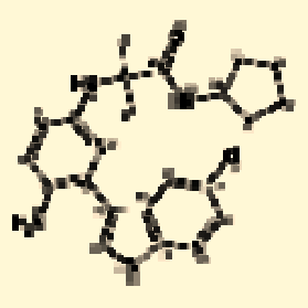 CC(C)(Nc1ncc(N)c(-c2c[nH]c3ncc(Cl)cc23)n1)C(=O)NC1CCCC1